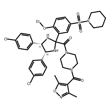 CCOc1ccc(S(=O)(=O)N2CCCCC2)cc1C1(C(=O)N2CCN(C(=O)c3c(C)noc3C)CC2)N[C@H](c2ccc(Cl)cc2)[C@H](c2ccc(Cl)cc2)N1